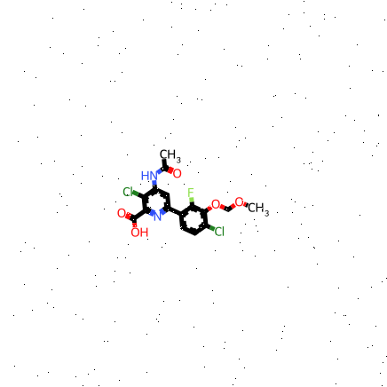 COCOc1c(Cl)ccc(-c2cc(NC(C)=O)c(Cl)c(C(=O)O)n2)c1F